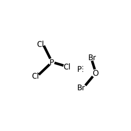 BrOBr.ClP(Cl)Cl.[P]